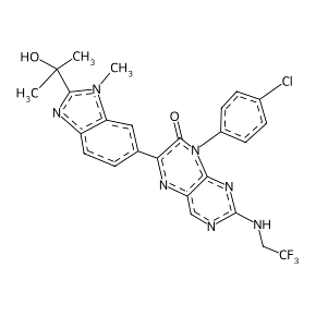 Cn1c(C(C)(C)O)nc2ccc(-c3nc4cnc(NCC(F)(F)F)nc4n(-c4ccc(Cl)cc4)c3=O)cc21